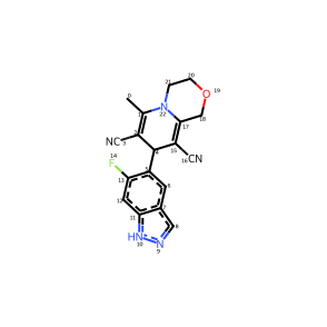 CC1=C(C#N)C(c2cc3cn[nH]c3cc2F)C(C#N)=C2COCCN12